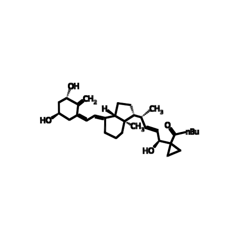 C=C1/C(=C\C=C2/CCC[C@]3(C)[C@@H]([C@H](C)/C=C/[C@H](O)C4(C(=O)CCCC)CC4)CC[C@@H]23)C[C@@H](O)C[C@@H]1O